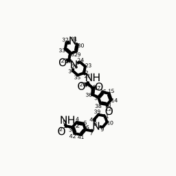 NC(=O)c1ccc(CN2CCC(Oc3ccc4oc(C(=O)NC5CCN(C(=O)c6ccncc6)CC5)cc4c3)CC2)cc1